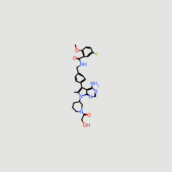 COc1ccc(F)cc1C(=O)NCc1ccc(-c2c(C)n(C3CCCN(C(=O)CO)C3)c3ncnc(N)c23)cc1